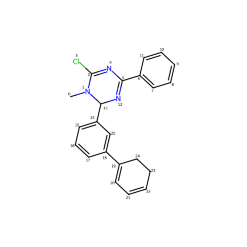 CN1C(Cl)=NC(c2ccccc2)=NC1c1cccc(C2=CC=CCC2)c1